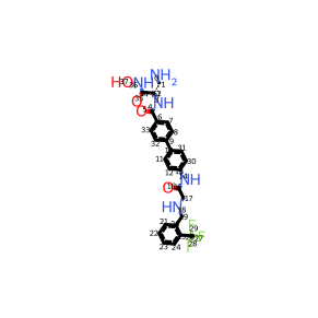 NC[C@H](NC(=O)c1ccc(-c2ccc(NC(=O)CNCc3ccccc3C(F)(F)F)cc2)cc1)C(=O)NO